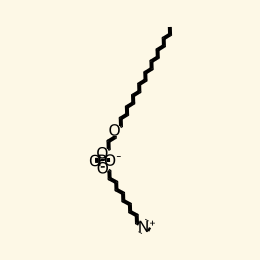 CCCCCCCCCCCCCCCCCCOCCCOP(=O)([O-])OCCCCCCCCCC[N+](C)(C)C